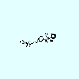 CC(C)(C)[Si](C)(C)OCCCN1CCCC(C(=O)Nn2ccc3ccccc32)C1